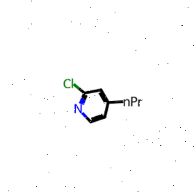 [CH2]CCc1ccnc(Cl)c1